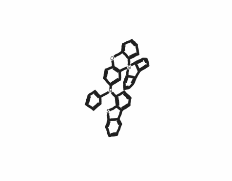 c1ccc(N(c2ccc3c(c2)[Si]2(c4ccccc4O3)c3ccccc3-c3ccccc32)c2cccc3c2sc2ccccc23)cc1